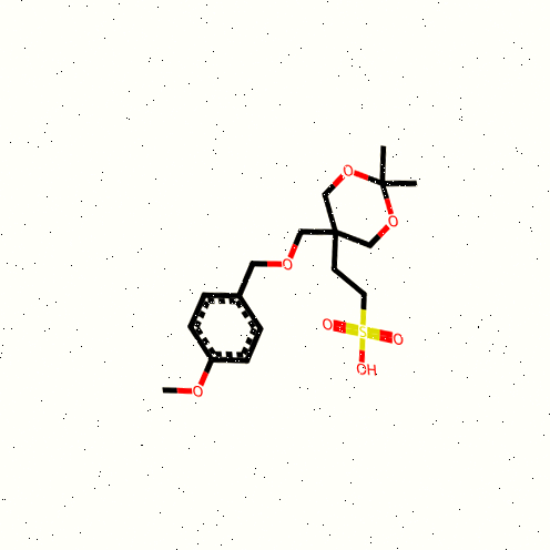 COc1ccc(COCC2(CCS(=O)(=O)O)COC(C)(C)OC2)cc1